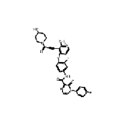 Nc1nccc(Oc2ccc(NC(=O)c3nccn(-c4ccc(F)cc4)c3=O)cc2F)c1C#CC(=O)N1CCC(O)CC1